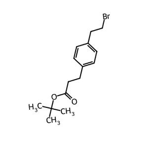 CC(C)(C)OC(=O)CCc1ccc(CCBr)cc1